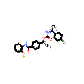 C[C@H](NC(=O)O[C@H](C)c1ccc(C(=O)Nc2ccccc2S)cc1)c1ccc(Cl)cc1